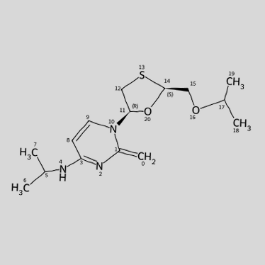 C=C1N=C(NC(C)C)C=CN1[C@H]1CS[C@@H](COC(C)C)O1